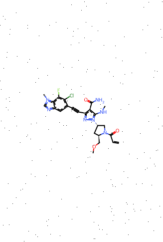 C=CC(=O)N1C[C@@H](n2nc(C#Cc3cc4ncn(C)c4c(F)c3Cl)c(C(N)=O)c2NC)C[C@@H]1COC